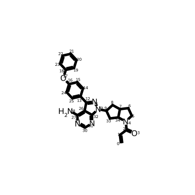 C=CC(=O)N1CCC2CC(n3nc(-c4ccc(Oc5ccccc5)cc4)c4c(N)ncnc43)CC21